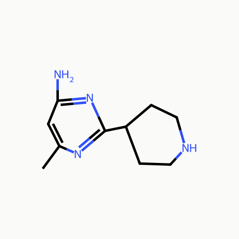 Cc1cc(N)nc(C2CCNCC2)n1